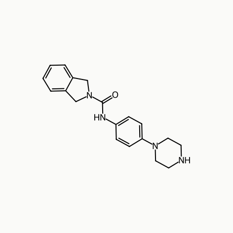 O=C(Nc1ccc(N2CCNCC2)cc1)N1Cc2ccccc2C1